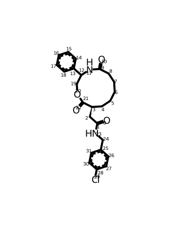 O=C(C[C@@H]1CCCCCC(=O)NC(c2ccccc2)COC1=O)NCc1ccc(Cl)cc1